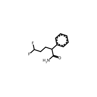 NC(=O)C(CCC(F)F)c1ccccc1